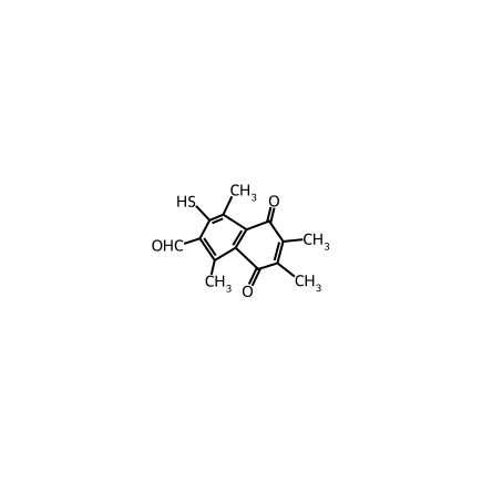 CC1=C(C)C(=O)c2c(C)c(C=O)c(S)c(C)c2C1=O